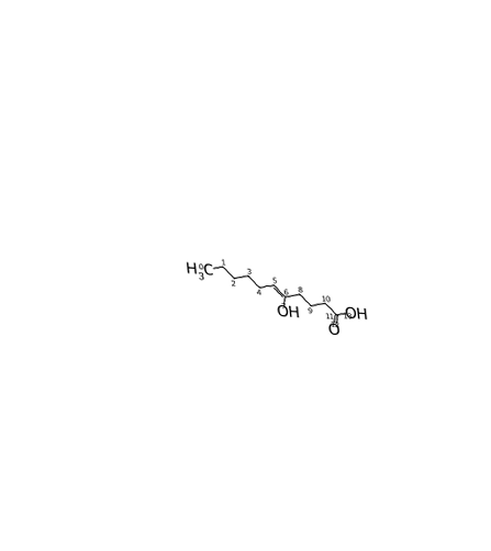 CCCCCC=C(O)CCCC(=O)O